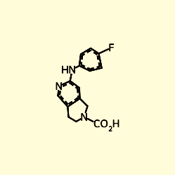 O=C(O)N1CCc2cnc(Nc3ccc(F)cc3)cc2C1